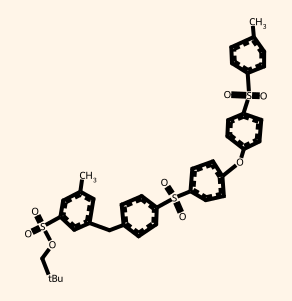 Cc1ccc(S(=O)(=O)c2ccc(Oc3ccc(S(=O)(=O)c4ccc(Cc5cc(C)cc(S(=O)(=O)OCC(C)(C)C)c5)cc4)cc3)cc2)cc1